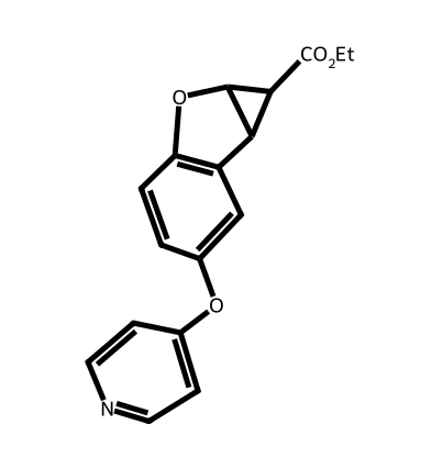 CCOC(=O)C1C2Oc3ccc(Oc4ccncc4)cc3C21